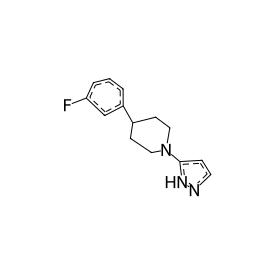 Fc1cccc(C2CCN(c3ccn[nH]3)CC2)c1